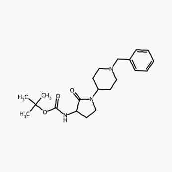 CC(C)(C)OC(=O)NC1CCN(C2CCN(Cc3ccccc3)CC2)C1=O